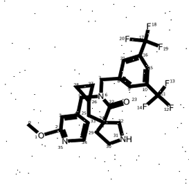 COc1cc(CN(Cc2cc(C(F)(F)F)cc(C(F)(F)F)c2)C(=O)C2(CC3CC3)CCNC2)ccn1